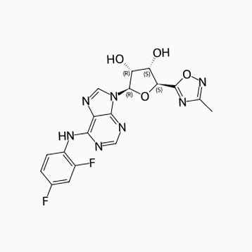 Cc1noc([C@H]2O[C@@H](n3cnc4c(Nc5ccc(F)cc5F)ncnc43)[C@H](O)[C@@H]2O)n1